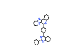 c1ccc(-c2nc(-c3ccc(-c4nc5ccccc5c5nc6ccccn6c45)cc3)c3ccccc3n2)cc1